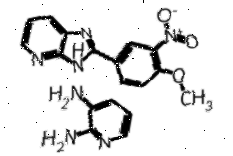 COc1ccc(-c2nc3cccnc3[nH]2)cc1[N+](=O)[O-].Nc1cccnc1N